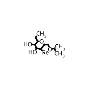 CCC1OC(COC(C)C)[CH]([Re])C(O)C1O